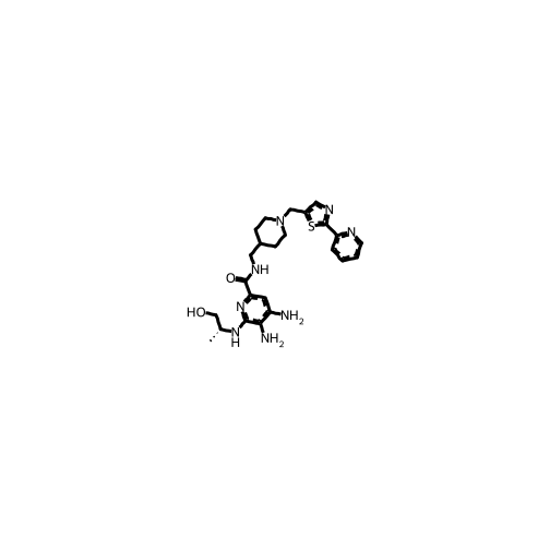 C[C@H](CO)Nc1nc(C(=O)NCC2CCN(Cc3cnc(-c4ccccn4)s3)CC2)cc(N)c1N